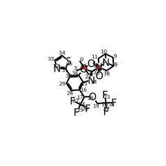 CC(C)(C)OC(=O)N1C2CC1CN(c1nc3c(C(OCC(F)(F)F)C(F)(F)F)ccc(-c4nccs4)c3o1)C2